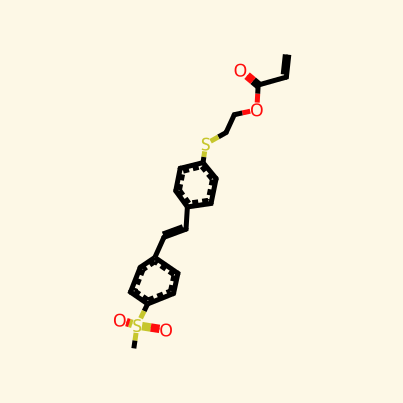 C=CC(=O)OCCSc1ccc(/C=C/c2ccc(S(C)(=O)=O)cc2)cc1